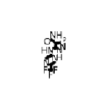 NC(=O)c1cn[nH]c1Nc1cnc(C(F)(F)F)cn1